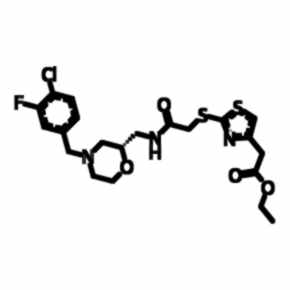 CCOC(=O)Cc1csc(SCC(=O)NC[C@H]2CN(Cc3ccc(Cl)c(F)c3)CCO2)n1